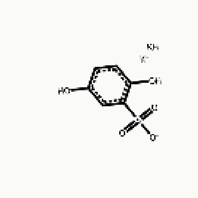 O=S(=O)([O-])c1cc(O)ccc1O.[K+].[KH]